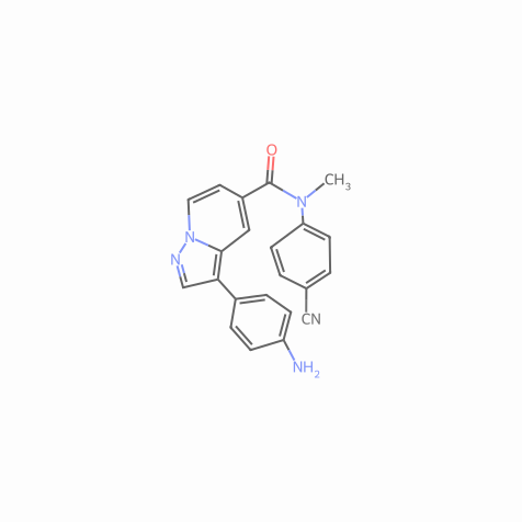 CN(C(=O)c1ccn2ncc(-c3ccc(N)cc3)c2c1)c1ccc(C#N)cc1